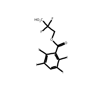 O=C(OCC(F)(F)C(=O)O)c1c(I)c(I)cc(I)c1I